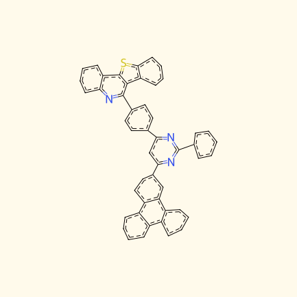 c1ccc(-c2nc(-c3ccc(-c4nc5ccccc5c5sc6ccccc6c45)cc3)cc(-c3ccc4c5ccccc5c5ccccc5c4c3)n2)cc1